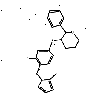 Cc1cccn1Cc1ccc(SC2CCCOC2c2ccccc2)cc1F